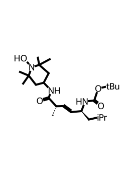 CC(C)C[C@@H](/C=C/[C@H](C)C(=O)NC1CC(C)(C)N(O)C(C)(C)C1)NC(=O)OC(C)(C)C